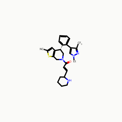 CCn1cc(-c2ccccc2[C@@H]2CN(C(=O)/C=C/C3CCCCN3)Cc3sc(C#N)cc32)c(C(F)(F)F)n1